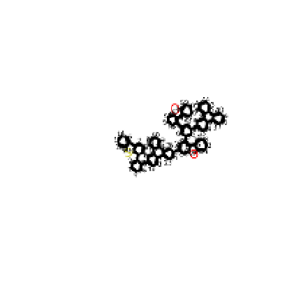 c1ccc(-c2cccc3c2sc2ccccc23)c(-c2ccc3c4ccc(-c5cc(-c6cc(-c7ccc8c9ccccc9c9ccccc9c8c7)cc(-c7cccc8oc9ccccc9c78)c6)c6c(c5)oc5ccccc56)cc4c4ccccc4c3c2)c1